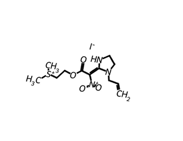 C=CCN1CCNC1=C(C(=O)OCC[S+](C)C)[N+](=O)[O-].[I-]